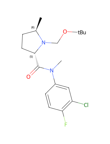 C[C@@H]1CC[C@@H](C(=O)N(C)c2ccc(F)c(Cl)c2)N1COC(C)(C)C